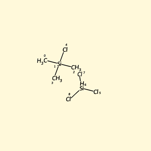 C[Si](C)(C)Cl.Cl[SiH](Cl)Cl